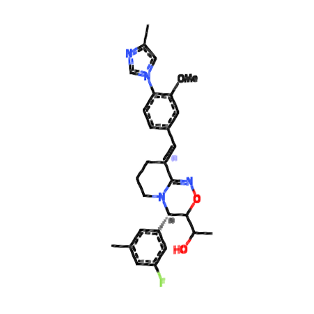 COc1cc(/C=C2\CCCN3C2=NOC(C(C)O)[C@@H]3c2cc(C)cc(F)c2)ccc1-n1cnc(C)c1